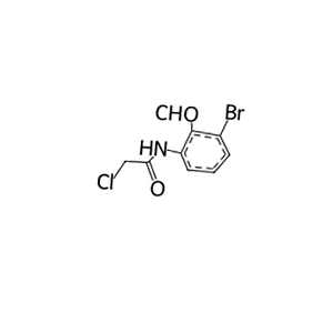 O=Cc1c(Br)cccc1NC(=O)CCl